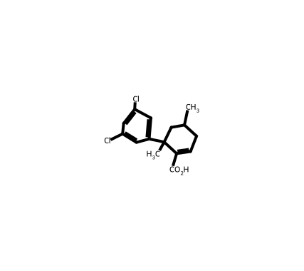 CC1CC=C(C(=O)O)C(C)(c2cc(Cl)cc(Cl)c2)C1